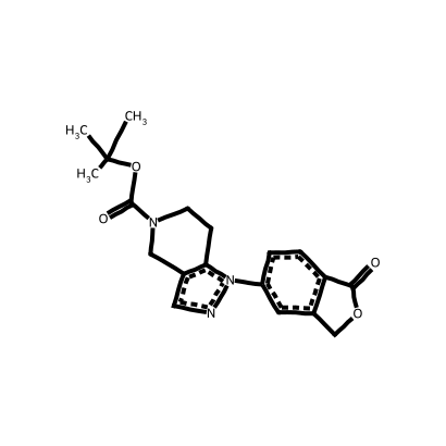 CC(C)(C)OC(=O)N1CCc2c(cnn2-c2ccc3c(c2)COC3=O)C1